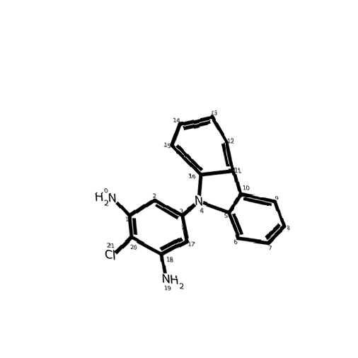 Nc1cc(-n2c3ccccc3c3ccccc32)cc(N)c1Cl